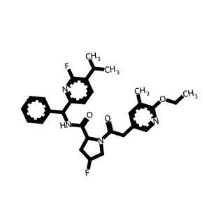 CCOc1ncc(CC(=O)N2CC(F)CC2C(=O)NC(c2ccccc2)c2ccc(C(C)C)c(F)n2)cc1C